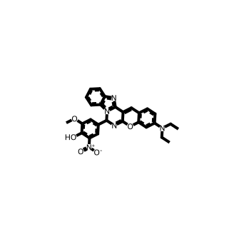 CCN(CC)c1ccc2c(c1)OC1=NC(c3cc(OC)c(O)c([N+](=O)[O-])c3)n3c(nc4ccccc43)C1=C2